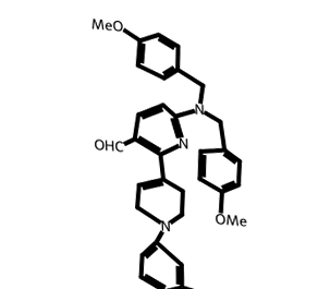 COc1ccc(CN(Cc2ccc(OC)cc2)c2ccc(C=O)c(C3=CCN(c4cccc(C)c4)CC3)n2)cc1